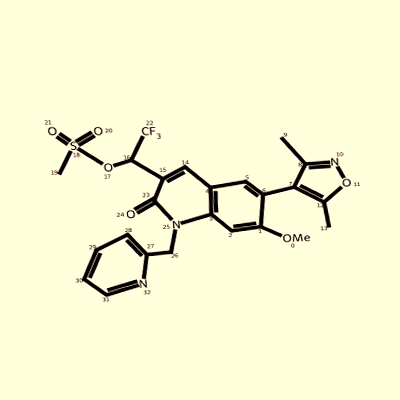 COc1cc2c(cc1-c1c(C)noc1C)cc(C(OS(C)(=O)=O)C(F)(F)F)c(=O)n2Cc1ccccn1